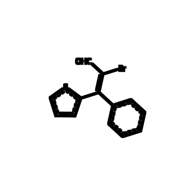 O=CC(Br)=C(c1ccccc1)c1cccs1